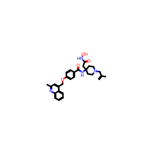 C=C(C)CN1CCC(CC(=O)NO)(NC(=O)c2ccc(OCc3cc(C)nc4ccccc34)cc2)CC1